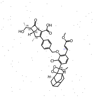 COC(=O)/C=C/c1ccc([C@@]2(OC)OOC23[C@H]2CC4CC(C2)C[C@@H]3C4)c(Cl)c1OCc1ccc(C2=C(C(=O)O)N3C(=O)[C@H]([C@@H](C)O)[C@H]3[C@H]2C)cc1